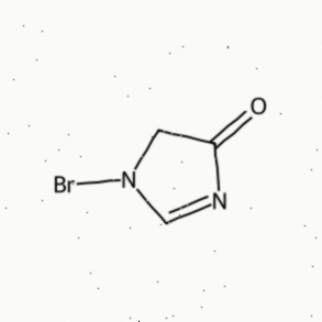 O=C1CN(Br)C=N1